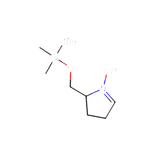 CC(C)(C)[Si](C)(C)OCC1CCC=[N+]1O